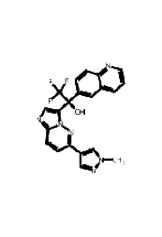 Cn1cc(-c2ccc3ncc(C(O)(c4ccc5ncccc5c4)C(F)(F)F)n3n2)cn1